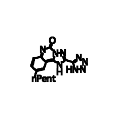 CCCCCc1ccc2nc(=O)n3nc(-c4nnn[nH]4)[nH]c3c2c1